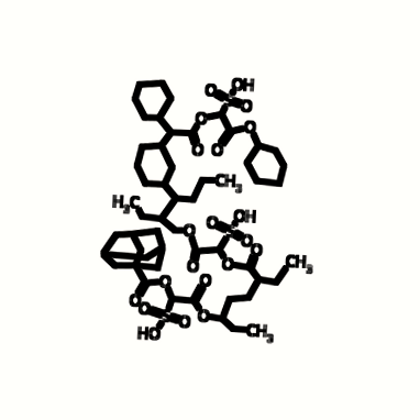 CCCC(C(CC)COC(=O)C(OC(=O)C(CC)CCC(CC)OC(=O)C(OC(=O)C12CC3CC(CC(C3)C1)C2)S(=O)(=O)O)S(=O)(=O)O)C1CCCC(C(C(=O)OC(C(=O)OC2CCCCC2)S(=O)(=O)O)C2CCCCC2)C1